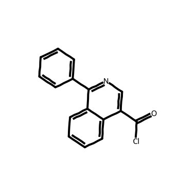 O=C(Cl)c1cnc(-c2ccccc2)c2ccccc12